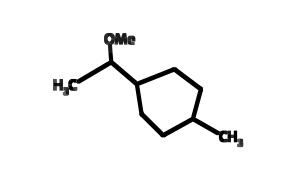 COC(C)C1CCC(C)CC1